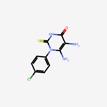 Nc1c(N)n(-c2ccc(Cl)cc2)c(=S)[nH]c1=O